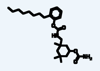 CCCCCCCCc1ccccc1OC(=O)NCC1(C)CC(OC(N)=O)CC(C)(C)C1